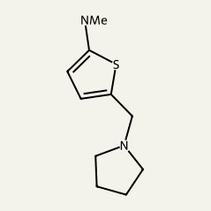 CNc1ccc(CN2CCCC2)s1